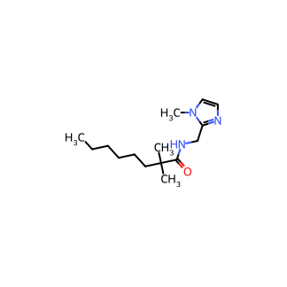 CCCCCCC(C)(C)C(=O)NCc1nccn1C